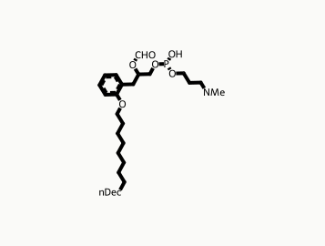 CCCCCCCCCCCCCCCCCCOc1ccccc1CC(COP(O)OCCCNC)OC=O